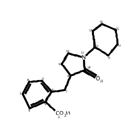 O=C(O)c1ccccc1CC1CCN(C2CCCCC2)C1=O